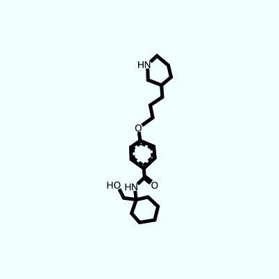 O=C(NC1(CO)CCCCC1)c1ccc(OCCCC2CCCNC2)cc1